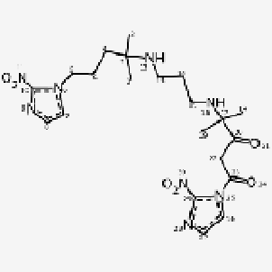 CC(C)(CCCn1ccnc1[N+](=O)[O-])NCCCNC(C)(C)C(=O)CC(=O)n1ccnc1[N+](=O)[O-]